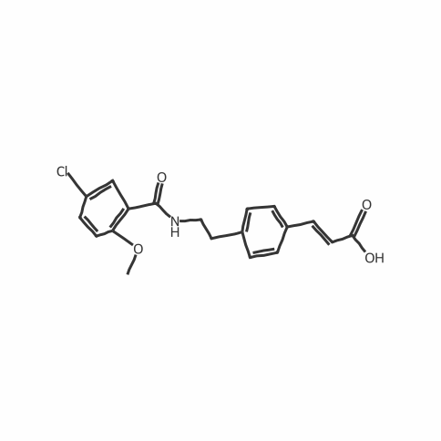 COc1ccc(Cl)cc1C(=O)NCCc1ccc(C=CC(=O)O)cc1